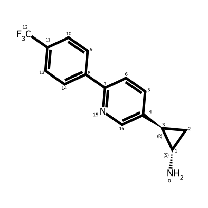 N[C@H]1C[C@@H]1c1ccc(-c2ccc(C(F)(F)F)cc2)nc1